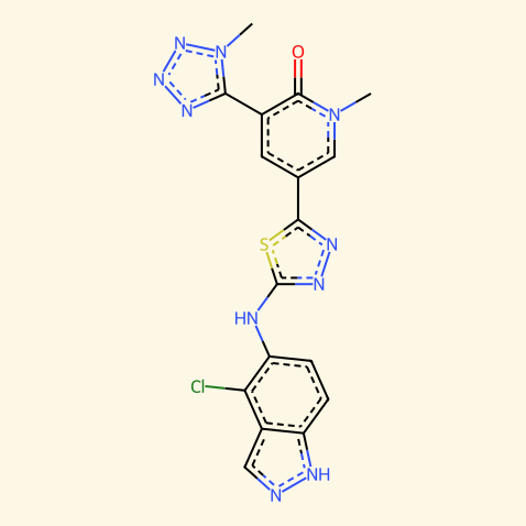 Cn1nnnc1-c1cc(-c2nnc(Nc3ccc4[nH]ncc4c3Cl)s2)cn(C)c1=O